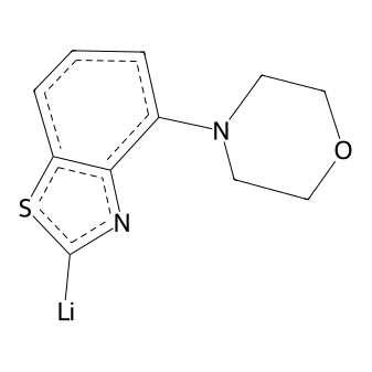 [Li][c]1nc2c(N3CCOCC3)cccc2s1